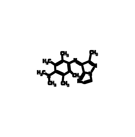 CC1=Nn2ccnc2/C1=N\c1c(C)c(C)c(N(C)C)c(C)c1C